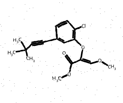 CO/C=C(\Oc1cc(C#CC(C)(C)C)ccc1Cl)C(=O)OC